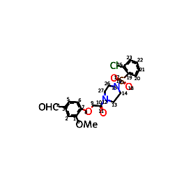 COc1cc(C=O)ccc1OCC(=O)N1CCN(S(=O)(=O)c2ccccc2Cl)CC1